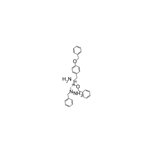 N[C@H](Cc1ccc(OCc2ccccc2)cc1)[C@@H](CN(N)Cc1ccccc1)OCc1ccccc1